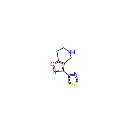 c1nc(-c2noc3c2CNCC3)cs1